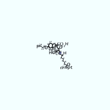 CCCCCCCC(=O)CCCCCC/C=C/[C@H](C(=O)N[C@@H](Cc1ccc(OCCCF)cc1)C(=O)O)[C@@](O)(CCC)C(=O)O